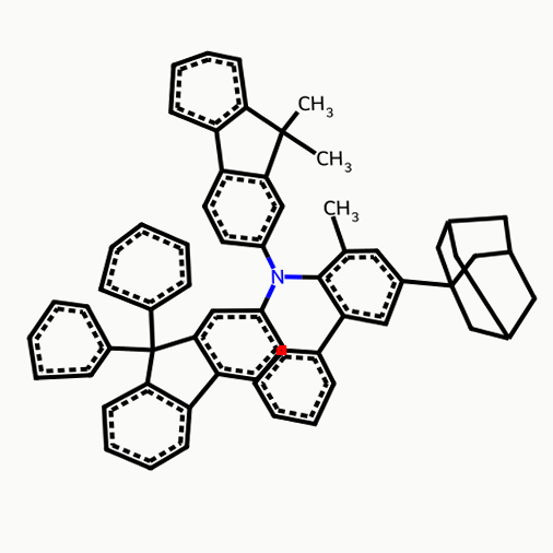 Cc1cc(C23CC4CC(CC(C4)C2)C3)cc(-c2ccccc2)c1N(c1ccc2c(c1)C(C)(C)c1ccccc1-2)c1ccc2c(c1)C(c1ccccc1)(c1ccccc1)c1ccccc1-2